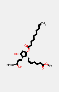 C=CCCCCCCCC(=O)O[C@H]1C[C@@H](O)[C@H](/C=C/[C@@H](O)CCCCC)[C@H]1C/C=C\CCCC(=O)OC(C)C